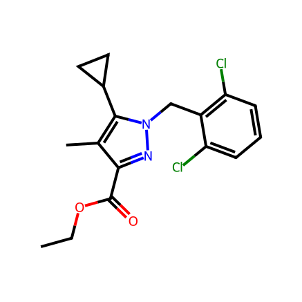 CCOC(=O)c1nn(Cc2c(Cl)cccc2Cl)c(C2CC2)c1C